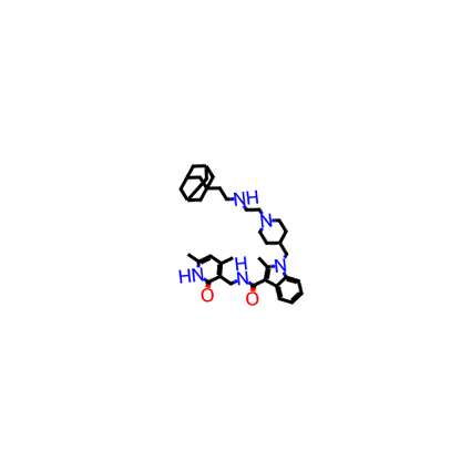 Cc1cc(C)c(CNC(=O)c2c(C)n(CC3CCN(CCNCCC45CC6CC(CC(C6)C4)C5)CC3)c3ccccc23)c(=O)[nH]1